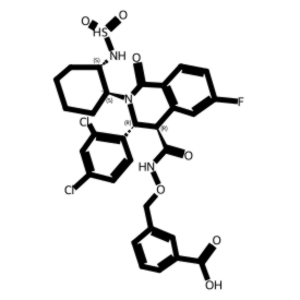 O=C(O)c1cccc(CONC(=O)[C@@H]2c3cc(F)ccc3C(=O)N([C@H]3CCCC[C@@H]3N[SH](=O)=O)[C@H]2c2ccc(Cl)cc2Cl)c1